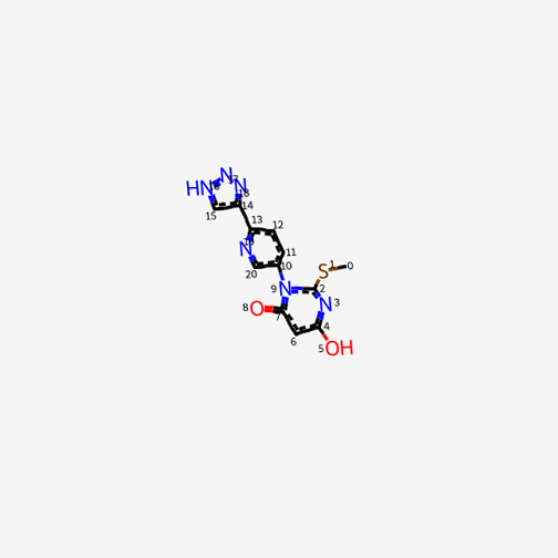 CSc1nc(O)cc(=O)n1-c1ccc(-c2c[nH]nn2)nc1